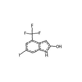 Oc1cc2c(C(F)(F)F)cc(I)cc2[nH]1